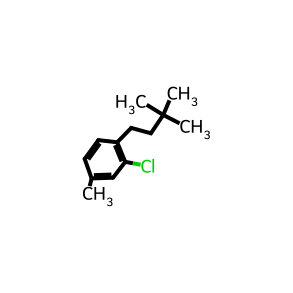 Cc1ccc(CCC(C)(C)C)c(Cl)c1